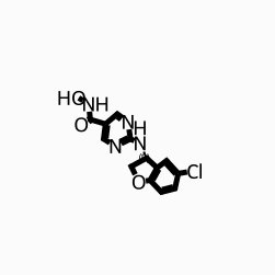 O=C(NO)c1cnc(N[C@H]2COc3ccc(Cl)cc32)nc1